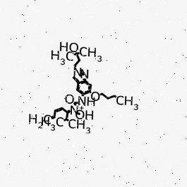 C=C/C=C\C(C(C)C)=[N+](\O)C(=O)Nc1cc2cn(CCC(C)(C)O)nc2cc1OCCCC